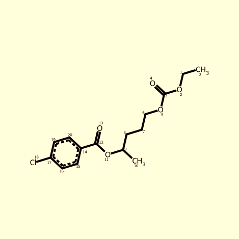 CCOC(=O)OCCCC(C)OC(=O)c1ccc(Cl)cc1